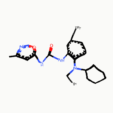 CCCc1ccc(N(CC(C)C)C2CCCCC2)c(NC(=O)Nc2cc(C)no2)c1